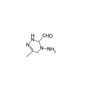 CC1=NNC(C=O)N(N)C1